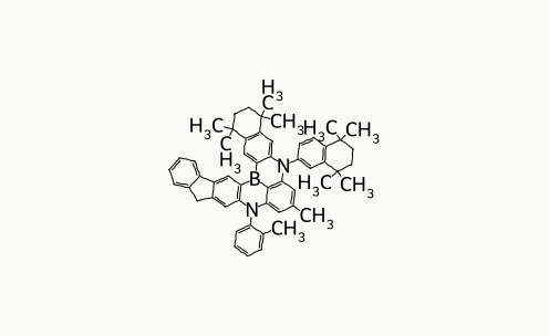 Cc1cc2c3c(c1)N(c1ccccc1C)c1cc4c(cc1B3c1cc3c(cc1N2c1ccc2c(c1)C(C)(C)CCC2(C)C)C(C)(C)CCC3(C)C)-c1ccccc1C4